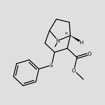 COC(=O)C1C(Sc2ccccc2)CC2CC[C@H]1N2C